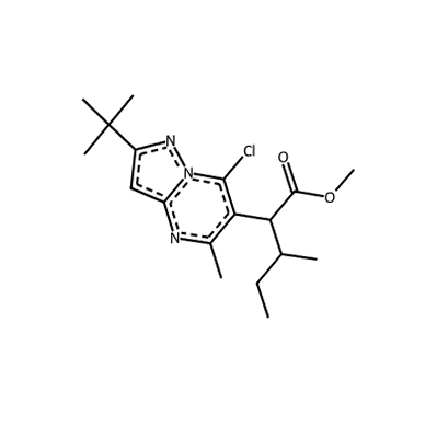 CCC(C)C(C(=O)OC)c1c(C)nc2cc(C(C)(C)C)nn2c1Cl